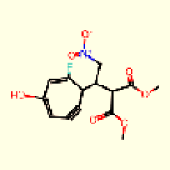 COC(=O)C(C(=O)OC)C(C[N+](=O)[O-])C1C#CC=C(O)C=C1F